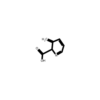 C=C1C=CC=NC1C(=O)O